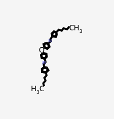 CCCCCCc1ccc(/C=C/c2ccc(Oc3ccc(/C=C/c4ccc(CCCCCC)cc4)cc3)cc2)cc1